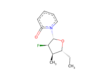 CC[C@H]1O[C@@H](n2ccccc2=O)[C@H](F)[C@@H]1C